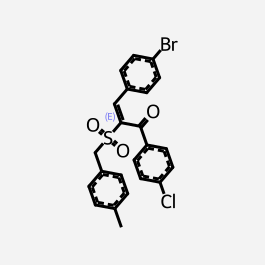 Cc1ccc(CS(=O)(=O)/C(=C/c2ccc(Br)cc2)C(=O)c2ccc(Cl)cc2)cc1